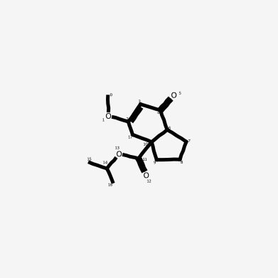 COC1=CC(=O)C2CCCC2(C(=O)OC(C)C)C1